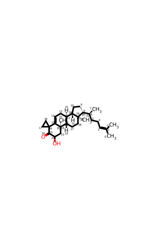 CC(C)=CCC[C@H](C)[C@H]1CC[C@H]2[C@@H]3CC=C4C5(CC5)C(=O)C(O)C[C@]4(C)[C@H]3CC[C@]12C